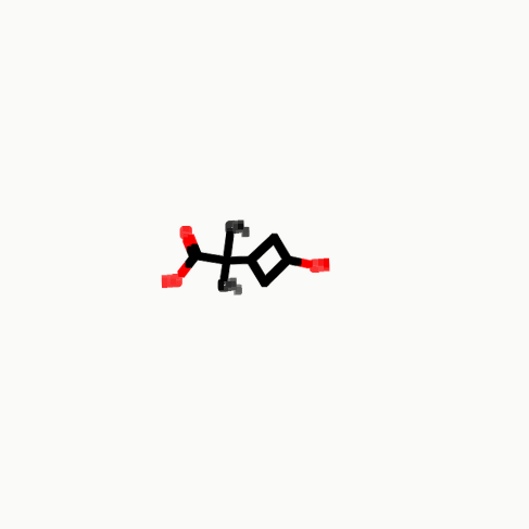 CC(C)(C(=O)O)C1CC(O)C1